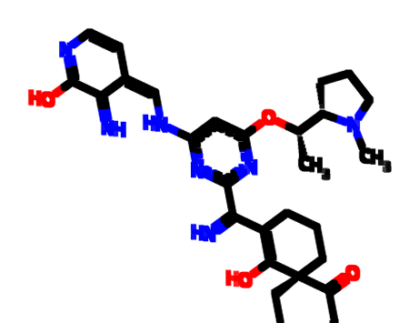 C[C@H](Oc1cc(N/C=C2/C=CN=C(O)C2=N)nc(C(=N)C2=C(O)[C@]3(CCCCC3=O)CCC2)n1)[C@@H]1CCCN1C